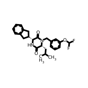 CC(C)C[C@@H]1C(=O)N[C@H](C2Cc3ccccc3C2)C(=O)N1Cc1cccc(OC(F)F)c1